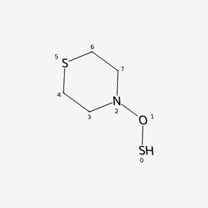 SON1CCSCC1